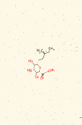 C=C(CC)CC[C@@H]1O[C@H](C(=O)O)[C@@H](O)[C@H](O)[C@H]1O